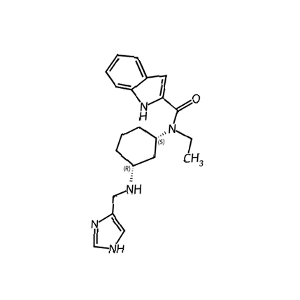 CCN(C(=O)c1cc2ccccc2[nH]1)[C@H]1CCC[C@@H](NCc2c[nH]cn2)C1